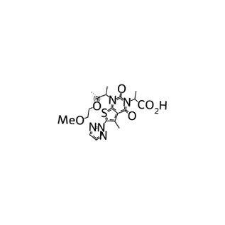 COCCO[C@H](C)C(C)n1c(=O)n(C(C)C(=O)O)c(=O)c2c(C)c(-n3nccn3)sc21